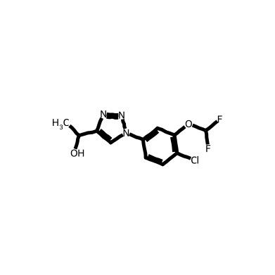 CC(O)c1cn(-c2ccc(Cl)c(OC(F)F)c2)nn1